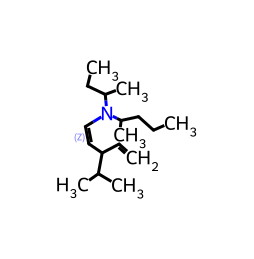 C=CC(/C=C\N(C(C)CC)C(C)CCC)C(C)C